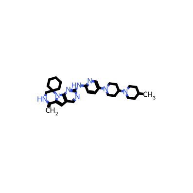 C=C1NCC2(CCCCC2)n2c1cc1cnc(Nc3ccc(N4CCC(N5CCC(C)CC5)CC4)cn3)nc12